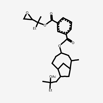 CCC(C)(CC1CC2CC1CCC(OC(=O)c1cccc(C(=O)OC(C)(CC)C3CO3)c1)CC2C)OC(C)=O